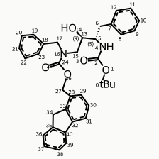 CC(C)(C)OC(=O)N[C@@H](Cc1ccccc1)[C@H](O)CN(Cc1ccccc1)C(=O)OCc1cccc2c1Cc1ccccc1-2